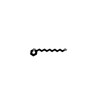 BrCCCCCCCCCCc1ccccn1